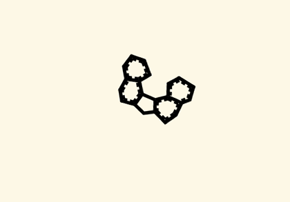 c1ccc2c3c(ccc2c1)Cc1ccc2ccccc2c1-3